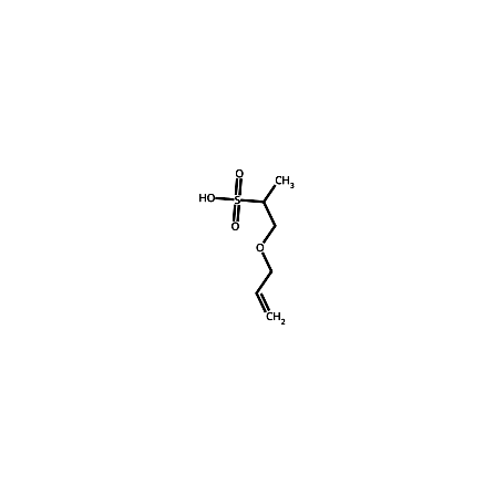 C=CCOCC(C)S(=O)(=O)O